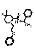 CC(NC(=O)[C@@H]1CC(F)(F)CCN1CCOc1ccccc1)c1ccccc1